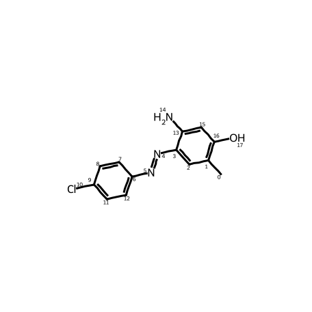 Cc1cc(N=Nc2ccc(Cl)cc2)c(N)cc1O